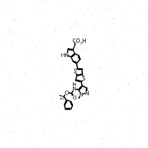 C[C@@H](OC(=O)Nc1c(-c2cc3sc(-c4ccc5c(CC(=O)O)c[nH]c5c4)cc3s2)cnn1C)c1ccccc1